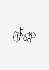 O=C(CN1CCCC1=O)NC12CC3CC(CC(C3)C1)C2